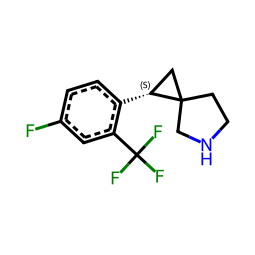 Fc1ccc([C@@H]2CC23CCNC3)c(C(F)(F)F)c1